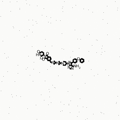 Nc1ncnc2c1c(C1C=CC(Oc3ccccc3)=CC1)nn2C1CCN(C2CN(C3CN(Cc4ccc5c(c4)C(=O)N(C4CCC(=O)NC4=O)C5=O)C3)C2)CC1